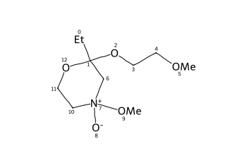 CCC1(OCCOC)C[N+]([O-])(OC)CCO1